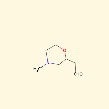 CN1CCOC(CC=O)C1